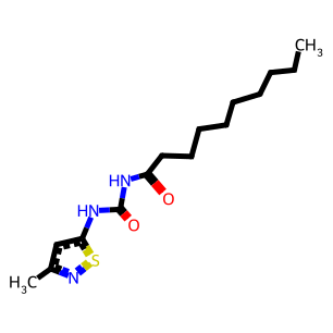 CCCCCCCCCC(=O)NC(=O)Nc1cc(C)ns1